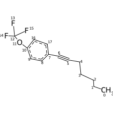 CCCCCC#Cc1ccc(OC(F)(F)F)cc1